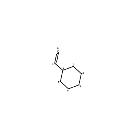 S=C[C]1CCCCC1